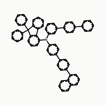 c1ccc(-c2ccc(-c3cccc(N(c4ccc(-c5ccc(-c6cccc7ccccc67)cc5)cc4)c4cccc5c4-c4ccccc4C5(c4ccccc4)c4ccccc4)c3)cc2)cc1